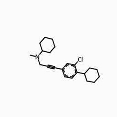 CN(CC#Cc1ccc(C2CCCCC2)c(Cl)c1)C1CCCCC1